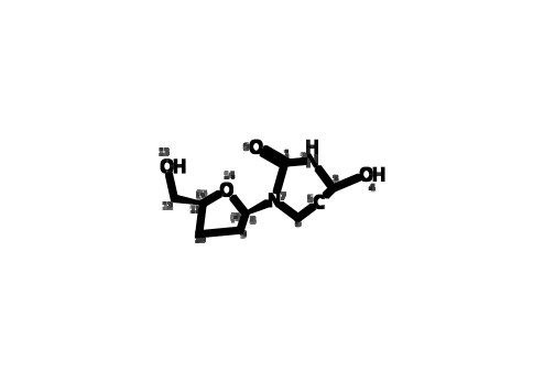 O=C1NC(O)CCN1[C@H]1CC[C@@H](CO)O1